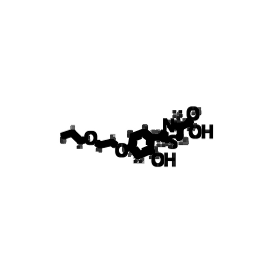 CCCOCCOc1ccc(C2=N[C@@](C)(C(=O)O)CS2)c(O)c1